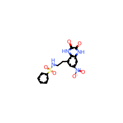 O=c1[nH]c2cc([N+](=O)[O-])cc(CCNS(=O)(=O)c3ccccc3)c2[nH]c1=O